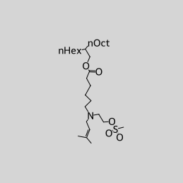 CCCCCCCCC(CCCCCC)COC(=O)CCCCCN(CC=C(C)C)CCOS(C)(=O)=O